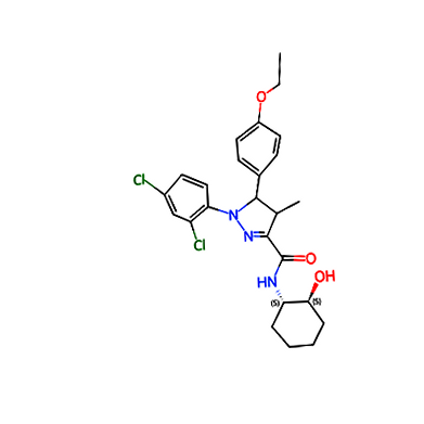 CCOc1ccc(C2C(C)C(C(=O)N[C@H]3CCCC[C@@H]3O)=NN2c2ccc(Cl)cc2Cl)cc1